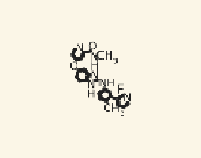 CNC(=O)c1cc(Oc2ccc3[nH]c(Nc4ccc(C)c(-c5cccnc5F)c4)nc3c2)ccn1